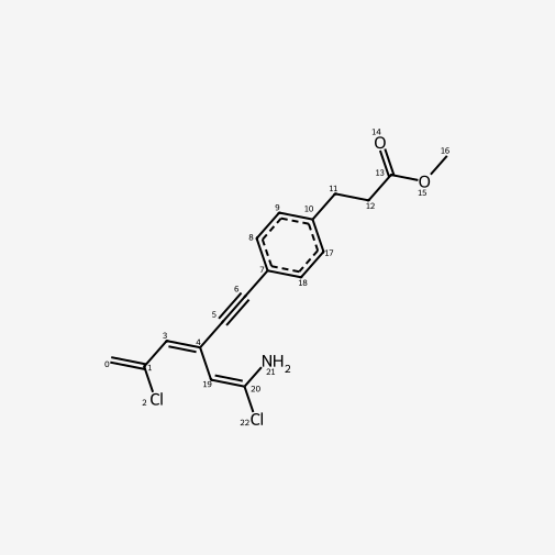 C=C(Cl)/C=C(C#Cc1ccc(CCC(=O)OC)cc1)\C=C(/N)Cl